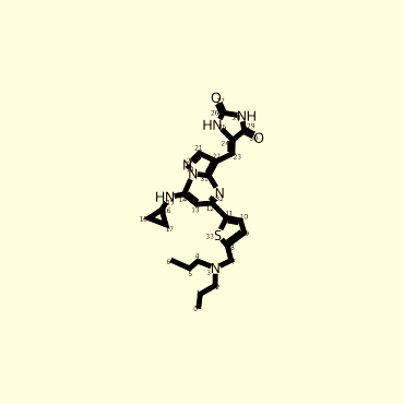 CCCN(CCC)Cc1ccc(-c2cc(NC3CC3)n3ncc(/C=C4\NC(=O)NC4=O)c3n2)s1